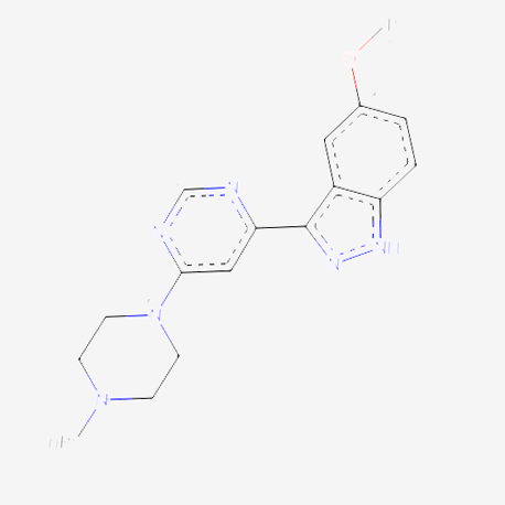 CCCN1CCN(c2cc(-c3n[nH]c4ccc(OC(C)C)cc34)ncn2)CC1